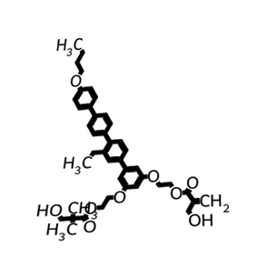 C=C(CO)C(=O)OCCOc1cc(OCCOC(=O)C(C)(C)CO)cc(-c2ccc(-c3ccc(-c4ccc(OCCCC)cc4)cc3)c(CC)c2)c1